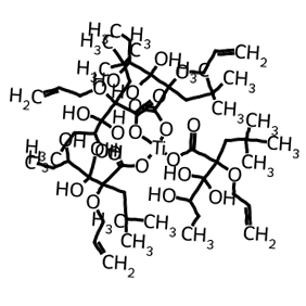 C=CCOC(CC(C)(C)C)(C(=O)[O][Ti]([O]C(=O)C(CC(C)(C)C)(OCC=C)C(O)(O)C(O)CC)([O]C(=O)C(CC(C)(C)C)(OCC=C)C(O)(O)C(O)CC)[O]C(=O)C(CC(C)(C)C)(OCC=C)C(O)(O)C(O)CC)C(O)(O)C(O)CC